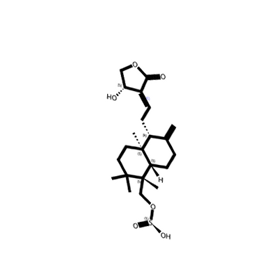 C=C1CC[C@H]2[C@@](C)(CCC(C)(C)[C@@]2(C)CO[S@](=O)O)[C@@H]1C/C=C1/C(=O)OC[C@H]1O